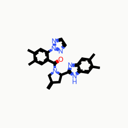 C=C1CC(c2nc3cc(C)c(C)cc3[nH]2)N(C(=O)c2cc(C)c(C)cc2-n2nccn2)C1